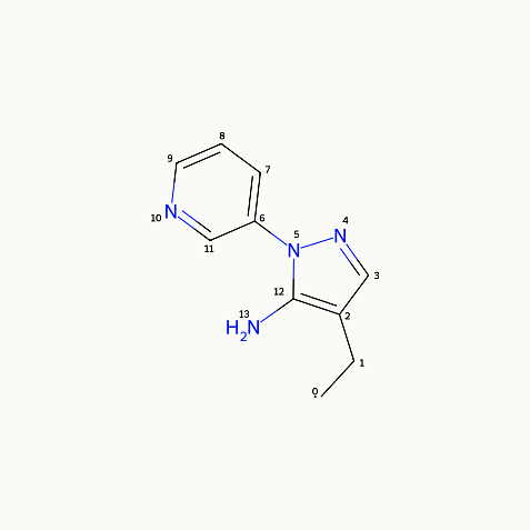 [CH2]Cc1cnn(-c2cccnc2)c1N